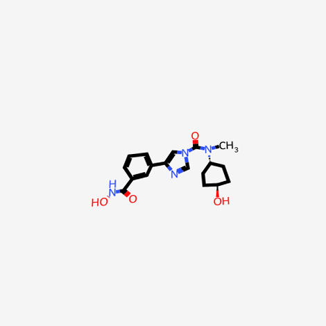 CN(C(=O)n1cnc(-c2cccc(C(=O)NO)c2)c1)[C@H]1CC[C@H](O)CC1